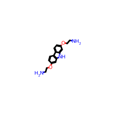 NCCOc1ccc2c(c1)[nH]c1cc(OCCN)ccc12